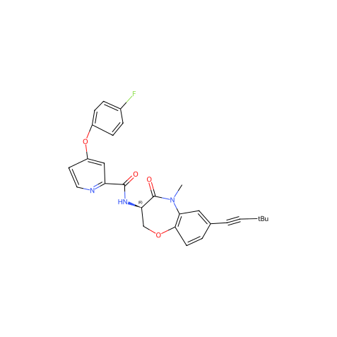 CN1C(=O)[C@H](NC(=O)c2cc(Oc3ccc(F)cc3)ccn2)COc2ccc(C#CC(C)(C)C)cc21